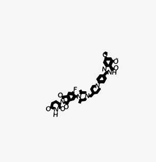 COc1cc(OC)c2c(=O)[nH]c(-c3ccc(N4CCC(CN5CC(C)N(c6cc7c(cc6F)C(=O)N(C6CCC(=O)NC6=O)C7=O)C(C)C5)CC4)cc3)nc2c1